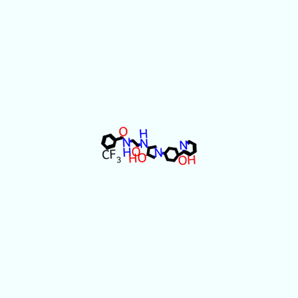 O=C(CNC(=O)c1cccc(C(F)(F)F)c1)N[C@H]1CN(C2CCC(O)(c3ccccn3)CC2)C[C@@H]1O